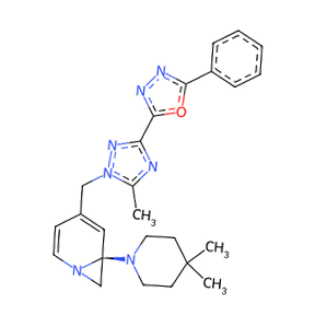 Cc1nc(-c2nnc(-c3ccccc3)o2)nn1CC1=C[C@]2(N3CCC(C)(C)CC3)CN2C=C1